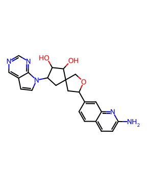 Nc1ccc2ccc(C3CC4(CO3)CC(n3ccc5cncnc53)C(O)C4O)cc2n1